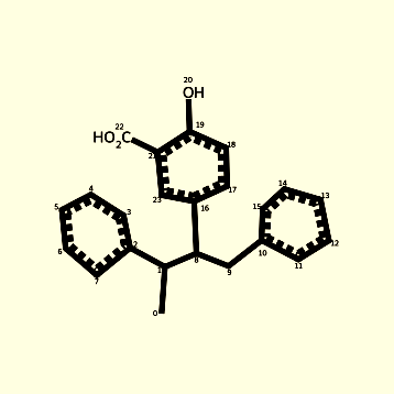 CC(c1ccccc1)C(Cc1ccccc1)c1ccc(O)c(C(=O)O)c1